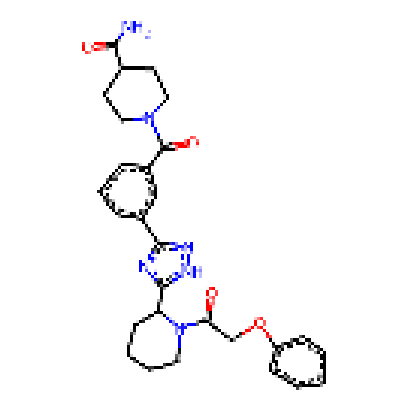 NC(=O)C1CCN(C(=O)c2cccc(-c3n[nH]c(C4CCCCN4C(=O)COc4ccccc4)n3)c2)CC1